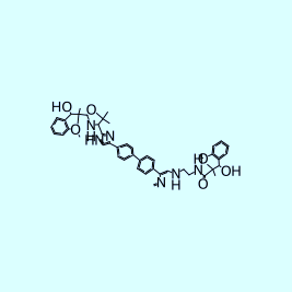 C=N/C(=C\NCCNC(=O)C(C)(C)C(O)c1ccccc1OC)c1ccc(-c2ccc(-c3c[nH]c(C(NC(=O)C(C)(C)C(O)c4ccccc4OC)C(C)(C)C)n3)cc2)cc1